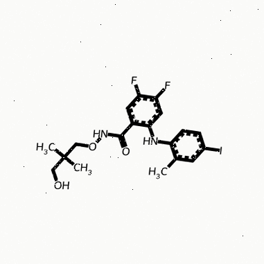 Cc1cc(I)ccc1Nc1cc(F)c(F)cc1C(=O)NOCC(C)(C)CO